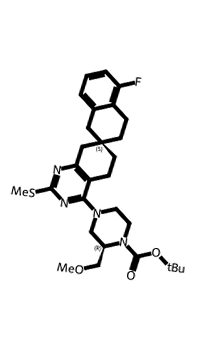 COC[C@H]1CN(c2nc(SC)nc3c2CC[C@@]2(CCc4c(F)cccc4C2)C3)CCN1C(=O)OC(C)(C)C